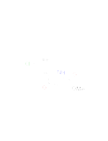 COC(=O)c1cc(=O)c2c(C)c(Cl)ccc2[nH]1